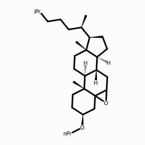 CCCO[C@H]1CC[C@]2(C)[C@H]3CC[C@]4(C)[C@@H]([C@H](C)CCCC(C)C)CC[C@H]4[C@@H]3CC3OC32C1